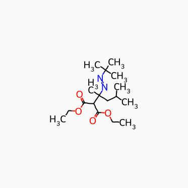 CCOC(=O)C(C(=O)OCC)C(C)(CC(C)C)N=NC(C)(C)C